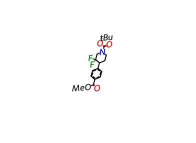 COC(=O)c1ccc(C2CCN(C(=O)OC(C)(C)C)CC2(F)F)cc1